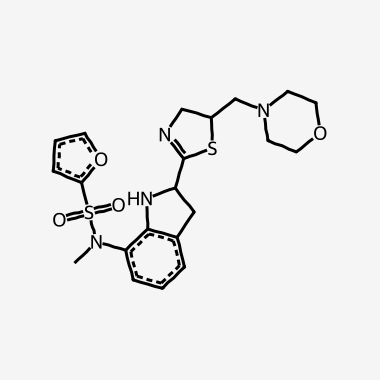 CN(c1cccc2c1NC(C1=NCC(CN3CCOCC3)S1)C2)S(=O)(=O)c1ccco1